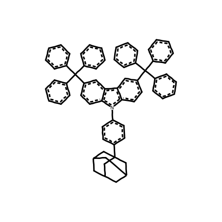 c1ccc(C(c2ccccc2)(c2ccccc2)c2ccc3c(c2)c2cc(C(c4ccccc4)(c4ccccc4)c4ccccc4)ccc2n3-c2ccc(C34CC5CC(CC(C5)C3)C4)cc2)cc1